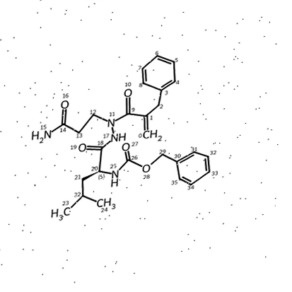 C=C(Cc1ccccc1)C(=O)N(CCC(N)=O)NC(=O)[C@H](CC(C)C)NC(=O)OCc1ccccc1